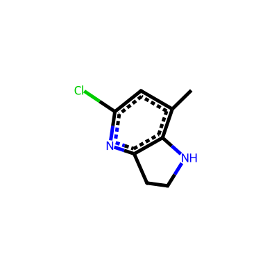 Cc1cc(Cl)nc2c1NCC2